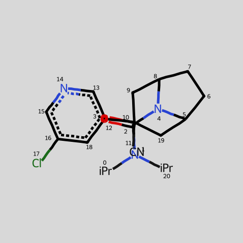 CC(C)N(C(=O)N1C2CCC1CC(C#N)(c1cncc(Cl)c1)C2)C(C)C